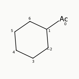 CC(=O)C1[C]CCCC1